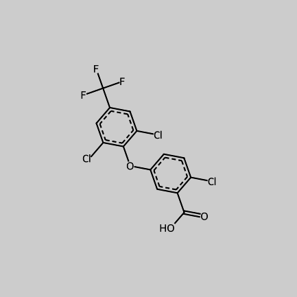 O=C(O)c1cc(Oc2c(Cl)cc(C(F)(F)F)cc2Cl)ccc1Cl